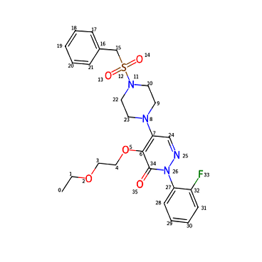 CCOCCOc1c(N2CCN(S(=O)(=O)Cc3ccccc3)CC2)cnn(-c2ccccc2F)c1=O